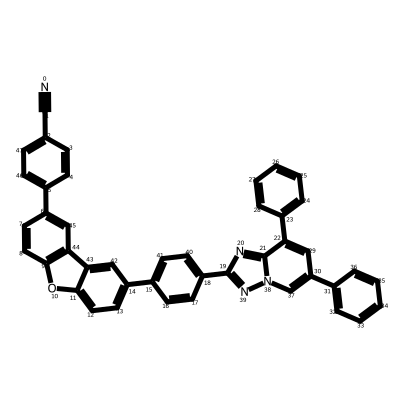 N#Cc1ccc(-c2ccc3oc4ccc(-c5ccc(-c6nc7c(-c8ccccc8)cc(-c8ccccc8)cn7n6)cc5)cc4c3c2)cc1